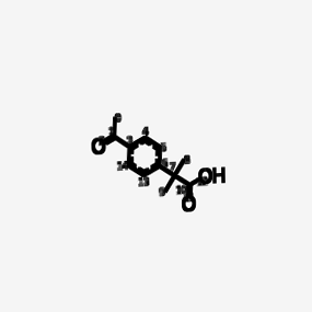 CC(=O)c1ccc(C(C)(C)C(=O)O)cc1